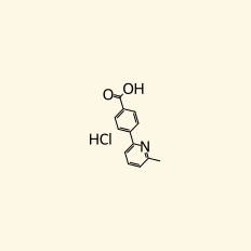 Cc1cccc(-c2ccc(C(=O)O)cc2)n1.Cl